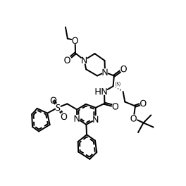 CCOC(=O)N1CCN(C(=O)[C@H](CCC(=O)OC(C)(C)C)NC(=O)c2cc(CS(=O)(=O)c3ccccc3)nc(-c3ccccc3)n2)CC1